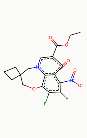 CCOC(=O)c1cn2c3c(c(F)c(F)c([N+](=O)[O-])c3c1=O)OCC1(CCC1)C2